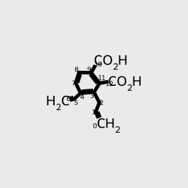 C=CCc1c(C=C)ccc(C(=O)O)c1C(=O)O